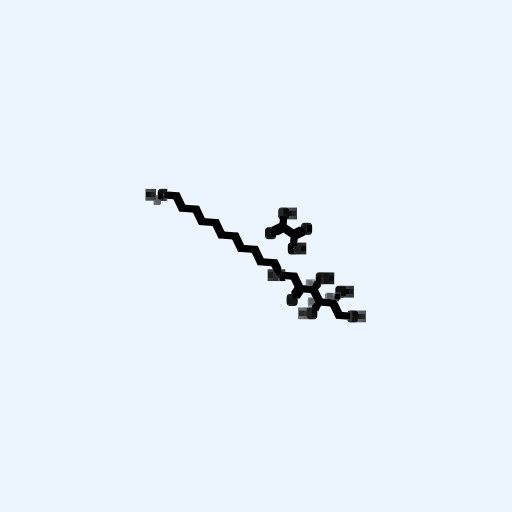 CCCCCCCCCCCCNCC(=O)[C@@H](O)[C@H](O)[C@H](O)CO.O=C(O)C(=O)O